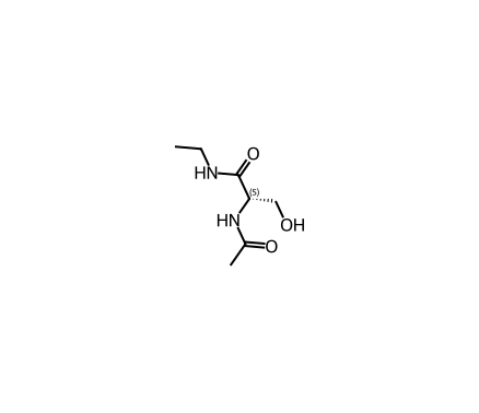 CCNC(=O)[C@H](CO)NC(C)=O